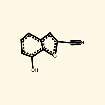 N#Cc1cc2cccc(O)c2o1